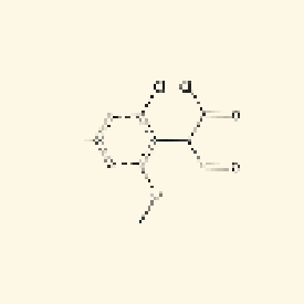 COc1cc(C)cc(Cl)c1C(C=O)C(=O)Cl